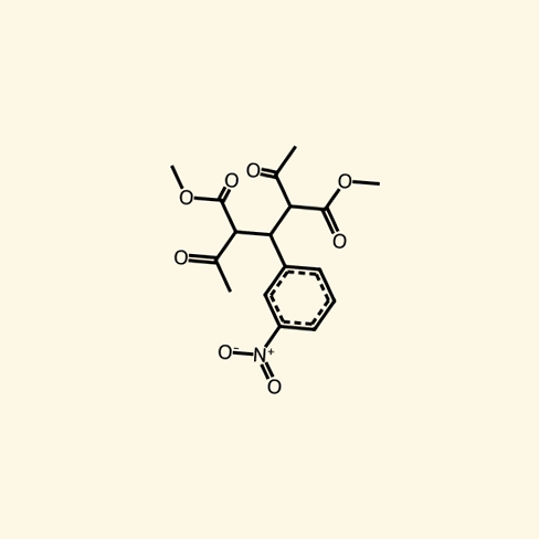 COC(=O)C(C(C)=O)C(c1cccc([N+](=O)[O-])c1)C(C(C)=O)C(=O)OC